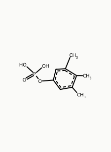 Cc1cc(OP(=O)(O)O)cc(C)c1C